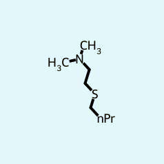 CCCCSCCN(C)C